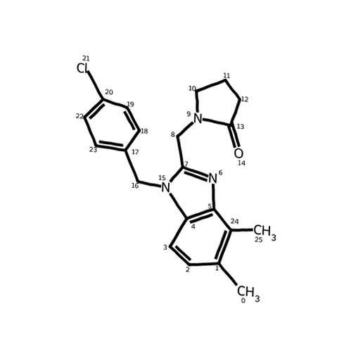 Cc1ccc2c(nc(CN3CCCC3=O)n2Cc2ccc(Cl)cc2)c1C